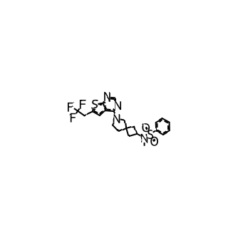 CN(C1CC2(CCN(c3ncnc4sc(CC(F)(F)F)cc34)C2)C1)S(=O)(=O)c1ccccc1